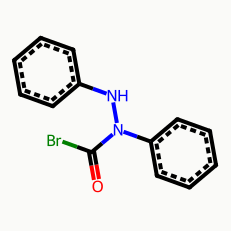 O=C(Br)N(Nc1ccccc1)c1ccccc1